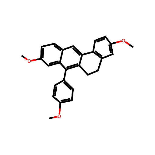 COc1ccc(-c2c3c(cc4ccc(OC)cc24)-c2ccc(OC)cc2CC3)cc1